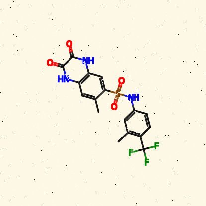 Cc1cc(NS(=O)(=O)c2cc3[nH]c(=O)c(=O)[nH]c3cc2C)ccc1C(F)(F)F